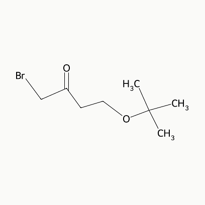 CC(C)(C)OCCC(=O)CBr